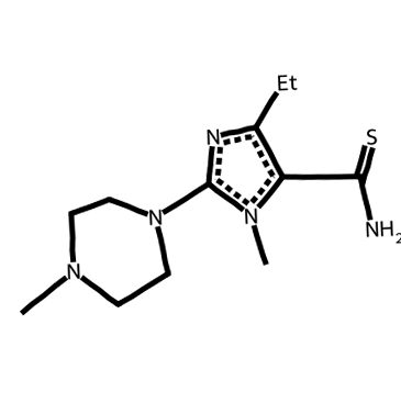 CCc1nc(N2CCN(C)CC2)n(C)c1C(N)=S